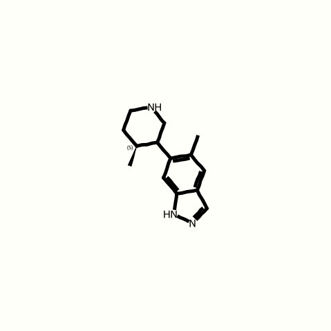 Cc1cc2cn[nH]c2cc1C1CNCC[C@@H]1C